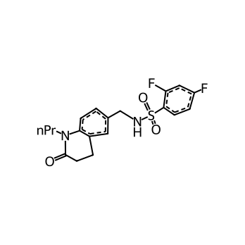 CCCN1C(=O)CCc2cc(CNS(=O)(=O)c3ccc(F)cc3F)ccc21